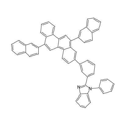 c1ccc(-n2c(-c3cccc(-c4ccc5c(c4)c(-c4ccc6ccccc6c4)cc4c6ccccc6c(-c6ccc7ccccc7c6)cc54)c3)nc3ccccc32)cc1